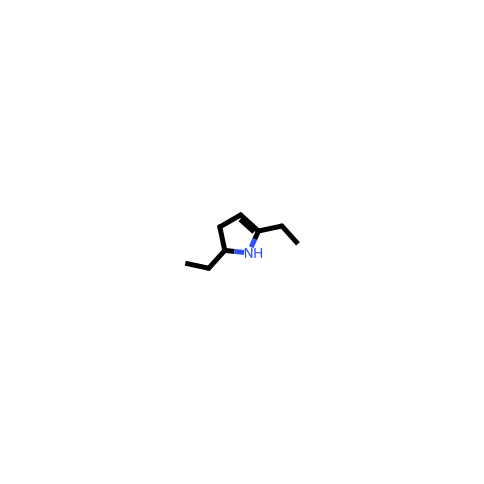 CCC1=CCC(CC)N1